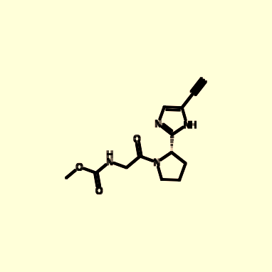 C#Cc1cnc([C@@H]2CCCN2C(=O)CNC(=O)OC)[nH]1